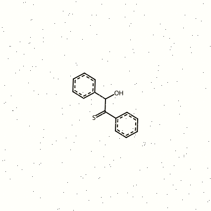 OC(C(=S)c1ccccc1)c1ccccc1